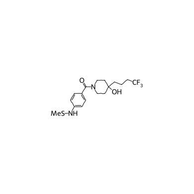 CSNc1ccc(C(=O)N2CCC(O)(CCCC(F)(F)F)CC2)cc1